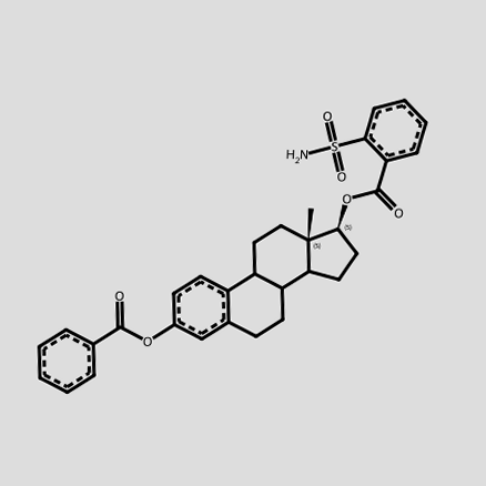 C[C@]12CCC3c4ccc(OC(=O)c5ccccc5)cc4CCC3C1CC[C@@H]2OC(=O)c1ccccc1S(N)(=O)=O